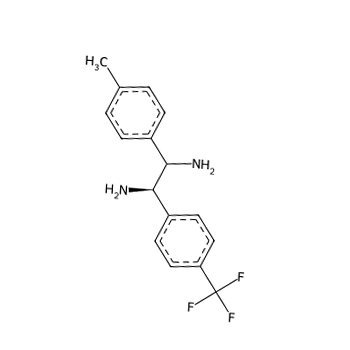 Cc1ccc(C(N)[C@H](N)c2ccc(C(F)(F)F)cc2)cc1